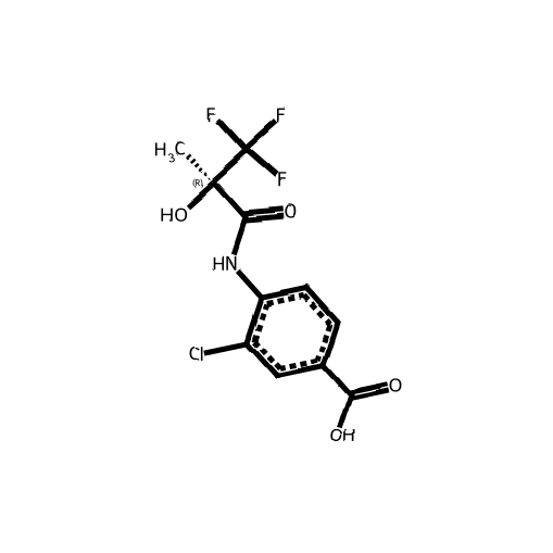 C[C@@](O)(C(=O)Nc1ccc(C(=O)O)cc1Cl)C(F)(F)F